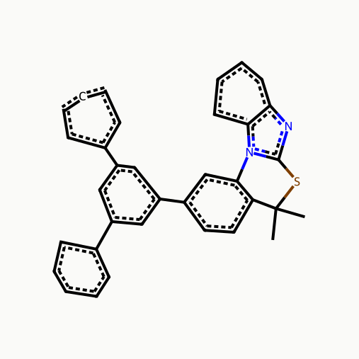 CC1(C)Sc2nc3ccccc3n2-c2cc(-c3cc(-c4ccccc4)cc(-c4ccccc4)c3)ccc21